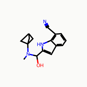 CN(C(O)c1cc2cccc(C#N)c2[nH]1)C12CC(C1)C2